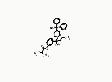 CCCC(O)(c1cccc(OC(=O)C(C)C)c1)N1CCC(C(O)(c2ccccc2)c2ccccc2)CC1